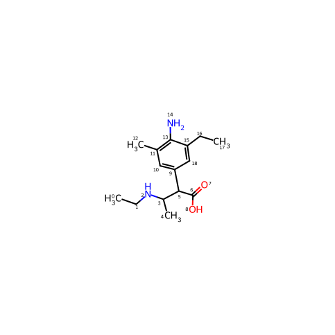 CCNC(C)C(C(=O)O)c1cc(C)c(N)c(CC)c1